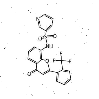 O=c1cc(-c2ccccc2C(F)(F)F)oc2c(NS(=O)(=O)c3cccnc3)cccc12